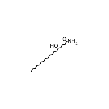 CCCCCCCCCCCCCC(O)CCCC(N)=O